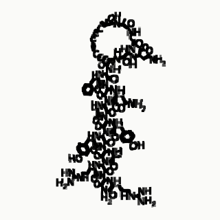 C[C@@H]1NC(=O)C(C)(C)CCC/C=C\CCC[C@@](C)(C(=O)N[C@@H](N[C@@H](C=O)Cc2ccccc2)C(=O)N[C@@H](N[C@@H](C=O)CC(N)=O)C(=O)NC(N[C@@H](C)C=O)C(=O)N[C@@H](N[C@@H](C=O)Cc2ccc(O)cc2)C(=O)N[C@H](N[C@@H](C=O)Cc2ccc(O)cc2)C(=O)N[C@@H](N[C@@H](C)C=O)C(=O)N[C@@H](N[C@@H](C=O)CCCNC(=N)N)C(=O)N[C@@H](N[C@@H](C=O)CCCNC(=N)N)C(N)=O)NC(=O)[C@H](N[C@@H](C=O)CC(N)=O)NC(=O)CNC1=O